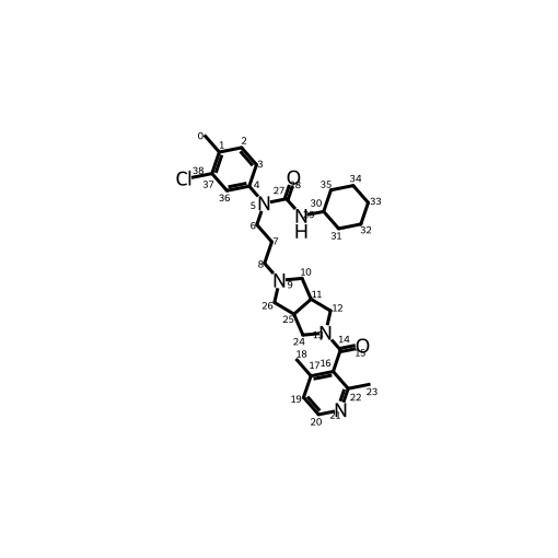 Cc1ccc(N(CCCN2CC3CN(C(=O)c4c(C)ccnc4C)CC3C2)C(=O)NC2CCCCC2)cc1Cl